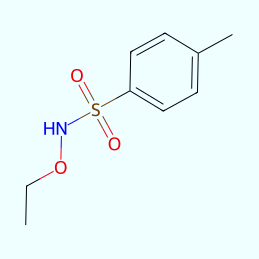 CCONS(=O)(=O)c1ccc(C)cc1